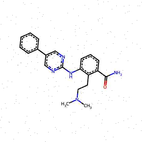 CN(C)CCc1c(Nc2ncc(-c3ccccc3)cn2)cccc1C(N)=O